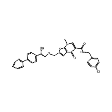 Cn1cc(C(=O)NCc2ccc(Cl)cc2)c(=O)c2cc(COC[C@H](O)c3ccc(-c4ccccc4)cc3)sc21